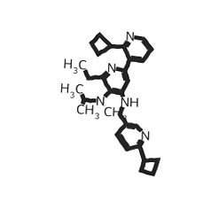 CCc1nc(-c2cccnc2C2CCC2)cc(NCc2ccc(C3CCC3)nc2)c1N(C)C(C)C